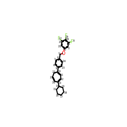 Fc1cc(OCc2ccc(C3=CC=C(C4CCCCC4)C=CC3)cc2)cc(F)c1F